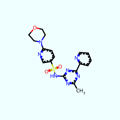 Cc1nc(NS(=O)(=O)c2ccc(N3CCOCC3)nc2)nc(-c2ccccn2)n1